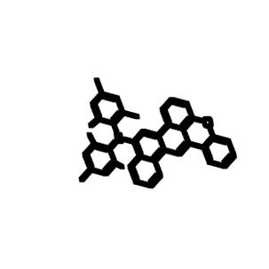 Cc1cc(C)c(B(c2c(C)cc(C)cc2C)c2cc3c4cccc5c4c(cc3c3ccccc23)-c2ccccc2O5)c(C)c1